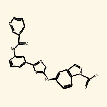 O=C(Nc1cccc(-c2nsc(Nc3ccc4c(cnn4C(=O)O)c3)n2)c1)c1cccnc1